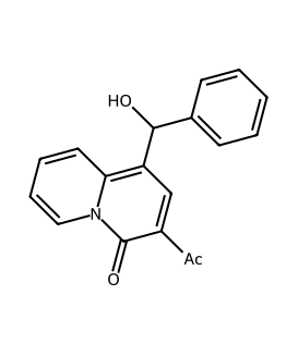 CC(=O)c1cc(C(O)c2ccccc2)c2ccccn2c1=O